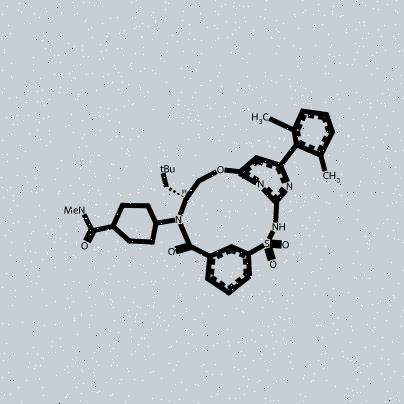 CNC(=O)C1CCC(N2C(=O)c3cccc(c3)S(=O)(=O)Nc3nc(cc(-c4c(C)cccc4C)n3)OC[C@H]2CC(C)(C)C)CC1